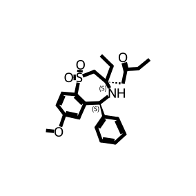 CCC(=O)C[C@@]1(CC)CS(=O)(=O)c2ccc(OC)cc2[C@H](c2ccccc2)N1